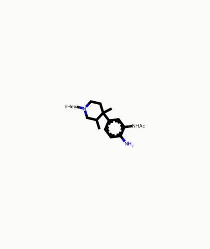 CCCCCCN1CCC(C)(c2ccc(N)c(NC(C)=O)c2)C(C)C1